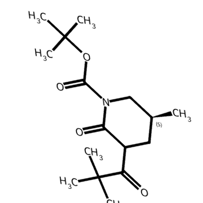 C[C@H]1CC(C(=O)C(C)(C)C)C(=O)N(C(=O)OC(C)(C)C)C1